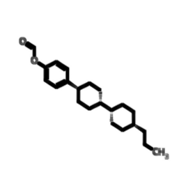 CCC[C@H]1CC[C@H]([C@H]2CC[C@H](c3ccc(OC=O)cc3)CC2)CC1